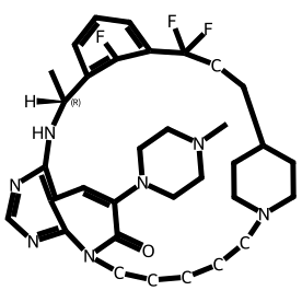 C[C@H]1Nc2ncnc3c2cc(N2CCN(C)CC2)c(=O)n3CCCCCN2CCC(CC2)CCC(F)(F)c2cccc1c2F